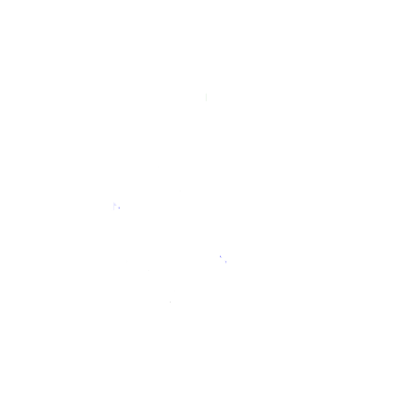 CC(Nc1cccc2ccccc12)C(=O)O.NC(Cc1ccc(F)c(F)c1)C(=O)O